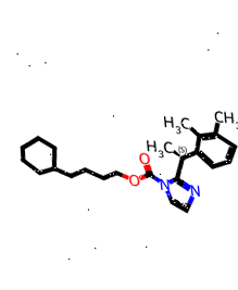 Cc1cccc([C@H](C)c2nccn2C(=O)OCCCCC2CCCCC2)c1C